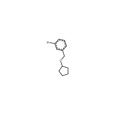 CC(C)c1cccc(COC2CCCC2)c1